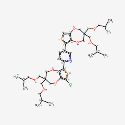 CC(C)COCC1(COCC(C)C)COc2csc(-c3ccc(-c4sc(Cl)c5c4OCC(COCC(C)C)(COCC(C)C)CO5)nc3)c2OC1